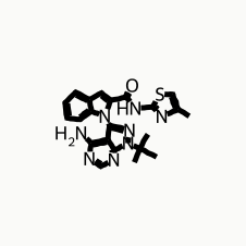 Cc1csc(NC(=O)c2cc3ccccc3n2-c2nn(C(C)(C)C)c3ncnc(N)c23)n1